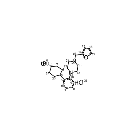 CC(C)(C)C1CCC(c2ccccc2N2CCN(Cc3ccco3)CC2)CC1.Cl